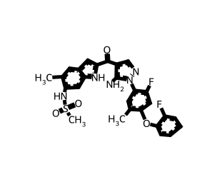 Cc1cc2cc(C(=O)c3cnn(-c4cc(C)c(Oc5ccccc5F)cc4F)c3N)[nH]c2cc1NS(C)(=O)=O